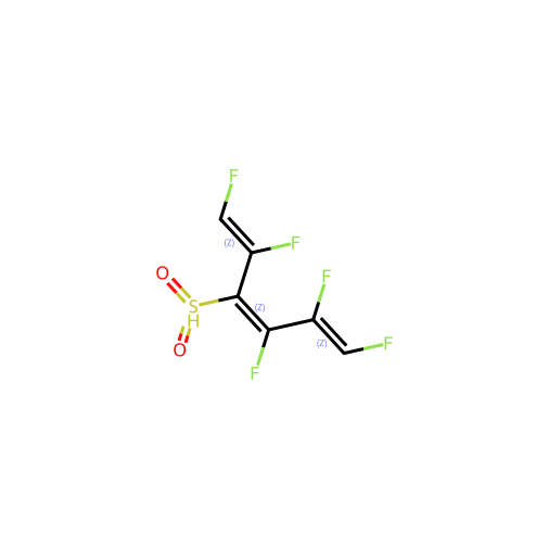 O=[SH](=O)C(/C(F)=C/F)=C(F)/C(F)=C/F